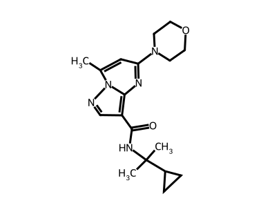 Cc1cc(N2CCOCC2)nc2c(C(=O)NC(C)(C)C3CC3)cnn12